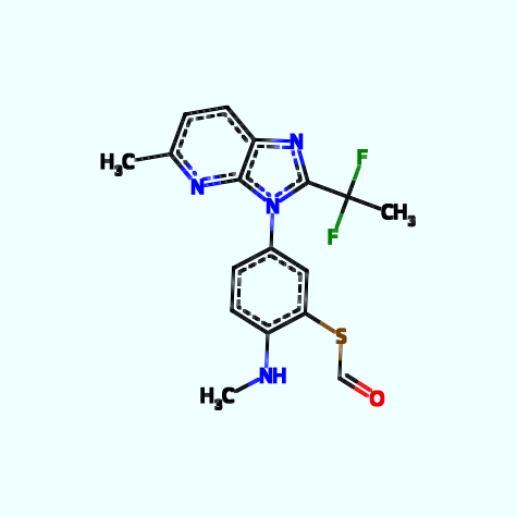 CNc1ccc(-n2c(C(C)(F)F)nc3ccc(C)nc32)cc1SC=O